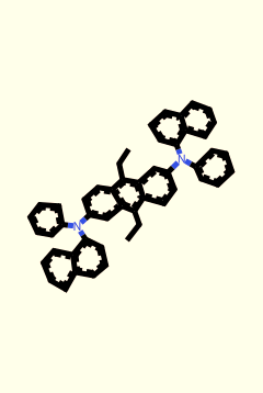 CCc1c2ccc(N(c3ccccc3)c3cccc4ccccc34)cc2c(CC)c2ccc(N(c3ccccc3)c3cccc4ccccc34)cc12